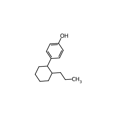 CCCC1CCCCC1c1ccc(O)cc1